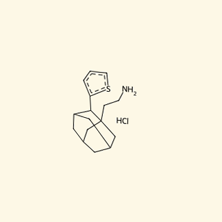 Cl.NCCC12CC3CC(CC(C3)C1c1cccs1)C2